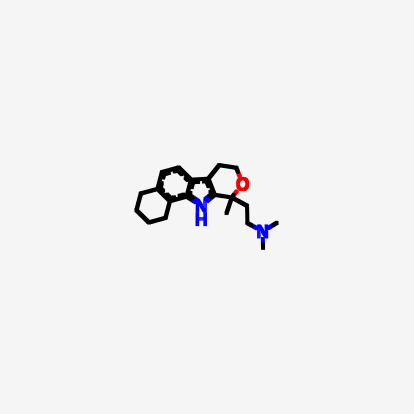 CN(C)CCC1(C)OCCc2c1[nH]c1c3c(ccc21)CCCC3